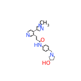 Cn1cc(-c2ccncc2C=CC(=O)Nc2ccc(CN3CCC(O)C3)cc2)cn1